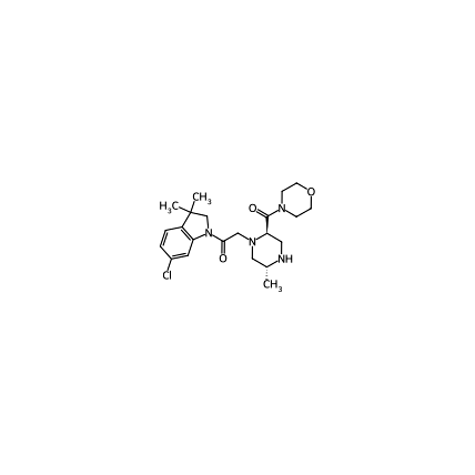 C[C@@H]1CN(CC(=O)N2CC(C)(C)c3ccc(Cl)cc32)[C@@H](C(=O)N2CCOCC2)CN1